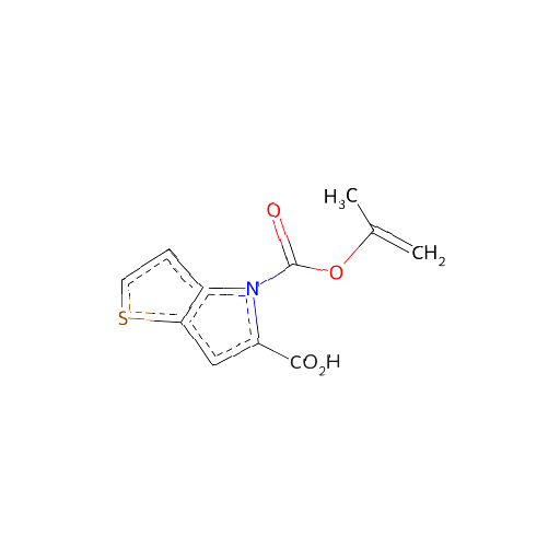 C=C(C)OC(=O)n1c(C(=O)O)cc2sccc21